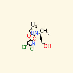 CCC(Oc1cnc(Cl)c(Cl)c1)C(=O)NC(C)C#CCCO